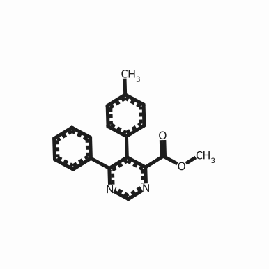 COC(=O)c1ncnc(-c2ccccc2)c1-c1ccc(C)cc1